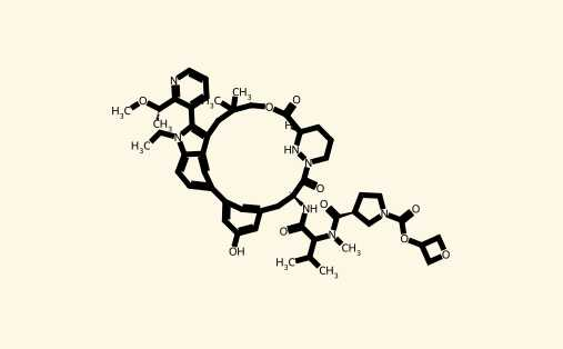 CCn1c(-c2cccnc2[C@H](C)OC)c2c3cc(ccc31)-c1cc(O)cc(c1)C[C@H](NC(=O)C(C(C)C)N(C)C(=O)[C@H]1CCN(C(=O)OC3COC3)C1)C(=O)N1CCC[C@H](N1)C(=O)OCC(C)(C)C2